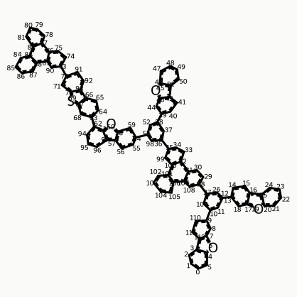 c1ccc2c(c1)oc1cc(-c3cc(-c4ccc5c(c4)oc4ccccc45)cc(-c4ccc5c6ccc(-c7cc(-c8ccc9c(c8)oc8ccccc89)cc(-c8ccc9c(c8)oc8c(-c%10ccc%11c(c%10)sc%10cc(-c%12ccc%13c%14ccccc%14c%14ccccc%14c%13c%12)ccc%10%11)cccc89)c7)cc6c6ccccc6c5c4)c3)ccc12